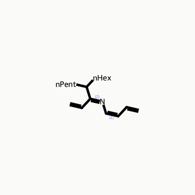 C=C/C=C\N=C(/C=C)C(CCCCC)CCCCCC